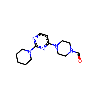 O=CN1CCN(c2ccnc(N3CCCCC3)n2)CC1